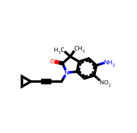 CC1(C)C(=O)N(CC#CC2CC2)c2cc([N+](=O)[O-])c(N)cc21